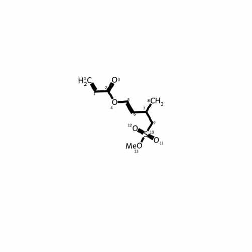 C=CC(=O)OC=CC(C)CS(=O)(=O)OC